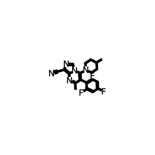 Cc1nc2c(C#N)ncn2c(N2CCC(C)CC2)c1-c1c(F)cc(F)cc1F